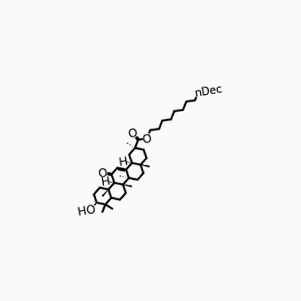 CCCCCCCCCCCCCCCCCCOC(=O)[C@@]1(C)CC[C@]2(C)CC[C@]3(C)C(=CC(=O)[C@@H]4[C@@]5(C)CC[C@H](O)C(C)(C)C5CC[C@]43C)[C@H]2C1